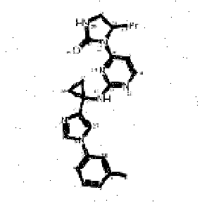 Cc1cccc(-n2cnc(C3(Nc4nccc(N5C(=O)NCC5C(C)C)n4)CC3)c2)c1